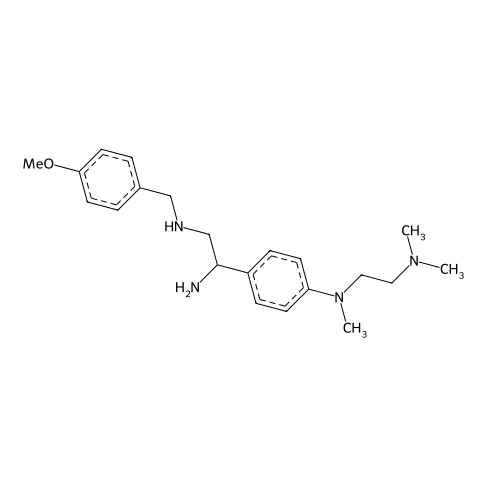 COc1ccc(CNCC(N)c2ccc(N(C)CCN(C)C)cc2)cc1